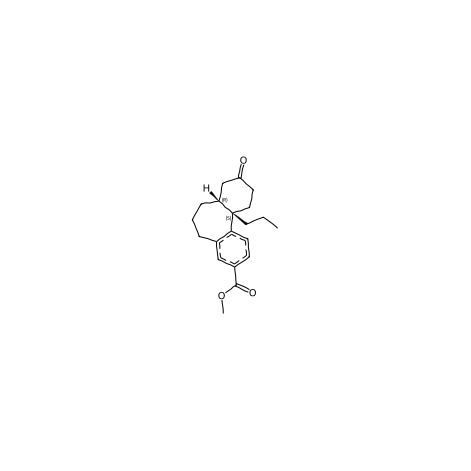 CCC[C@]12CCC(=O)C[C@H]1CCCc1cc(C(=O)OC)ccc12